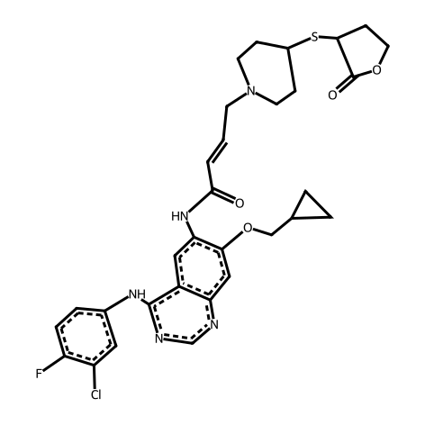 O=C(C=CCN1CCC(SC2CCOC2=O)CC1)Nc1cc2c(Nc3ccc(F)c(Cl)c3)ncnc2cc1OCC1CC1